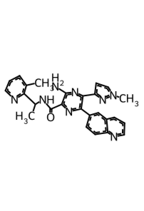 Cc1cccnc1C(C)NC(=O)c1nc(-c2ccc3ncccc3c2)c(-c2ccn(C)n2)nc1N